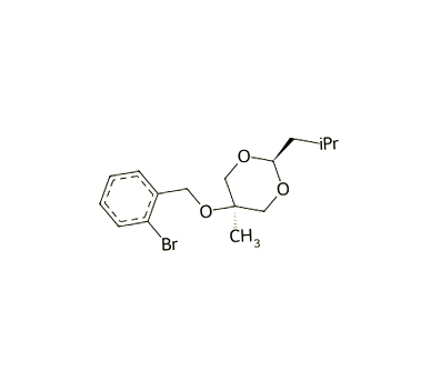 CC(C)C[C@H]1OC[C@@](C)(OCc2ccccc2Br)CO1